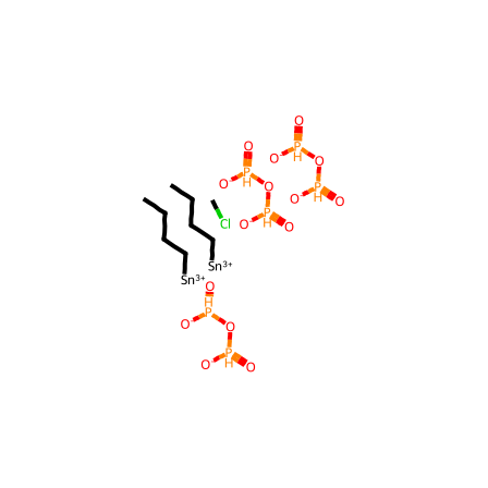 CCC[CH2][Sn+3].CCC[CH2][Sn+3].CCl.O=[PH]([O-])O[PH](=O)[O-].O=[PH]([O-])O[PH](=O)[O-].O=[PH]([O-])O[PH](=O)[O-]